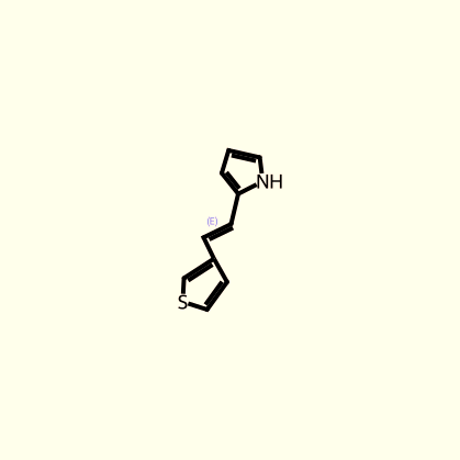 C(=C\c1ccc[nH]1)/c1ccsc1